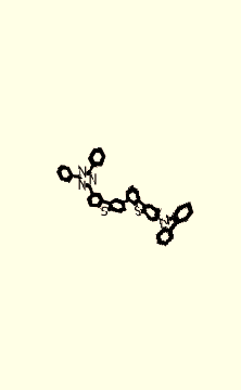 c1ccc(-c2nc(-c3ccccc3)nc(-c3ccc4sc5ccc(-c6cccc7c6sc6cc(-n8c9ccccc9c9ccccc98)ccc67)cc5c4c3)n2)cc1